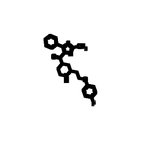 Cc1nc(C(=O)C2CCNC(CCOc3ccc(F)cc3)C2)c(-c2ccccc2)s1